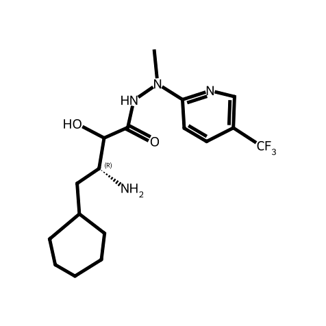 CN(NC(=O)C(O)[C@H](N)CC1CCCCC1)c1ccc(C(F)(F)F)cn1